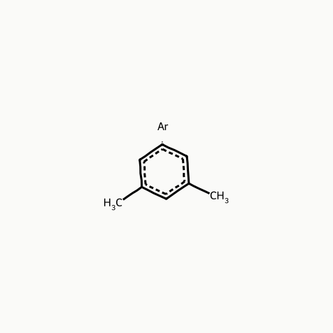 Cc1c[c]cc(C)c1.[Ar]